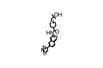 CN1CC(c2ccc3cnc(NC(=O)C4CCN(CC(C)(C)O)CC4)cc3c2)N=N1